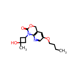 CCCCOc1cnc2c(c1)COC(=O)N2C1CC(C)(O)C1